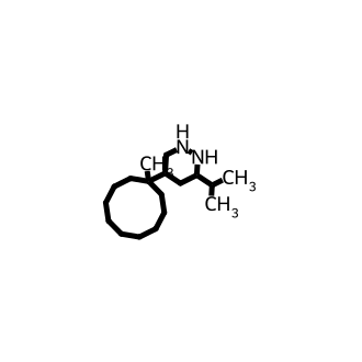 CC(C)C1CC(C2(C)CCCCCCCCC2)CNN1